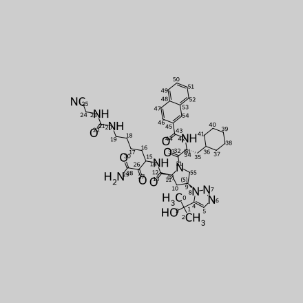 CC(C)(O)c1cnnn1[C@H]1C[C@@H](C(=O)NC(CCCCNC(=O)NCC#N)C(=O)C(N)=O)N(C(=O)[C@@H](CC2CCCCC2)NC(=O)c2ccc3ccccc3c2)C1